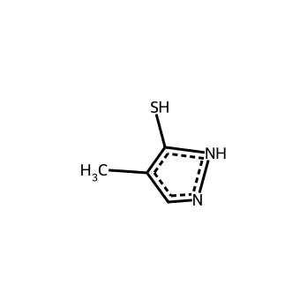 Cc1cn[nH]c1S